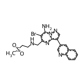 CS(=O)(=O)CCNCc1nc2c(-c3cnc4ccccc4c3)cnn2c(N)c1Br